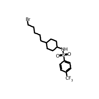 O=S(=O)(NC1CCC(CCCCCBr)CC1)c1ccc(C(F)(F)F)cc1